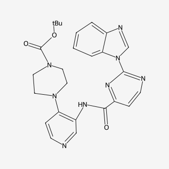 CC(C)(C)OC(=O)N1CCN(c2ccncc2NC(=O)c2ccnc(-n3cnc4ccccc43)n2)CC1